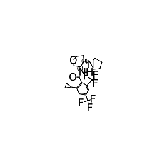 O=C(N[C@@H]1COCC[C@H]1N1CCCC1)c1c(C2CC2)cc(C(F)(F)F)cc1C(F)(F)F